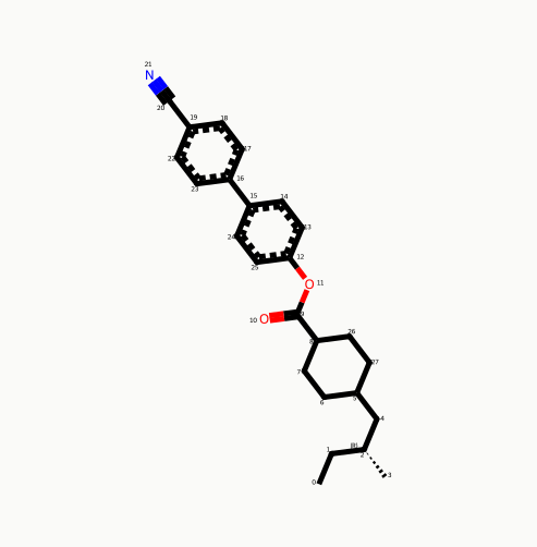 CC[C@@H](C)CC1CCC(C(=O)Oc2ccc(-c3ccc(C#N)cc3)cc2)CC1